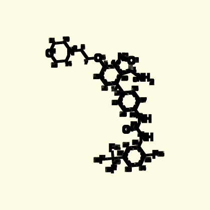 Nc1onc2c(OCCN3CCOCC3)ccc(-c3ccc(NC(=O)Nc4cc(C(F)(F)F)ccc4F)cc3)c12